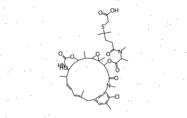 C/C1=C\C=C\C(C)C2(O)CC(OC(=O)N2)C(C)C2OC2(C)C(OC(=O)C(C)N(C)C(=O)CCC(C)(C)SCC(=O)O)CC(=O)N(C)c2cc(cc(C)c2Cl)C1